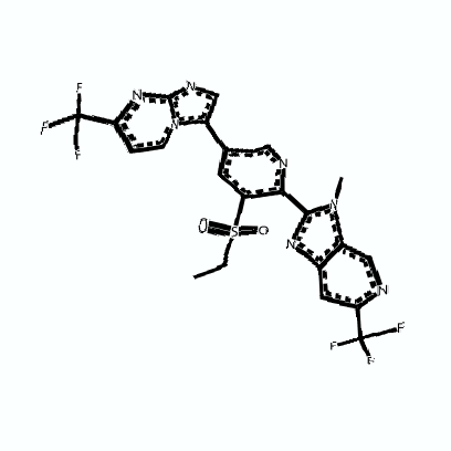 CCS(=O)(=O)c1cc(-c2cnc3nc(C(F)(F)F)ccn23)cnc1-c1nc2cc(C(F)(F)F)ncc2n1C